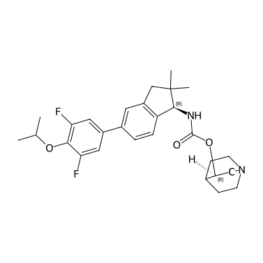 CC(C)Oc1c(F)cc(-c2ccc3c(c2)CC(C)(C)[C@H]3NC(=O)O[C@H]2CN3CCC2CC3)cc1F